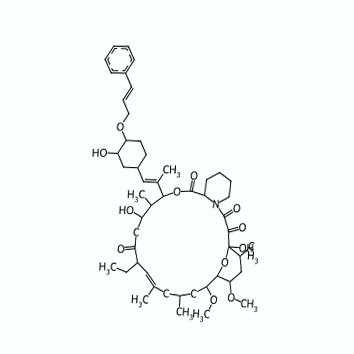 CCC1/C=C(\C)CC(C)CC(OC)C2OC(O)(C(=O)C(=O)N3CCCCC3C(=O)OC(C(C)=CC3CCC(OCC=Cc4ccccc4)C(O)C3)C(C)C(O)CC1=O)C(C)CC2OC